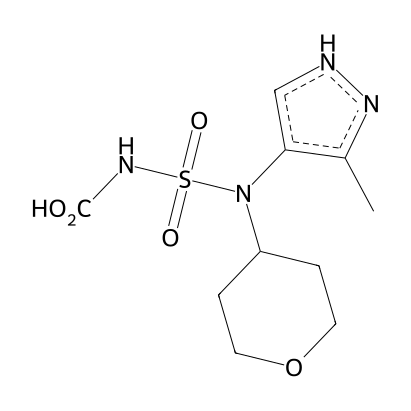 Cc1n[nH]cc1N(C1CCOCC1)S(=O)(=O)NC(=O)O